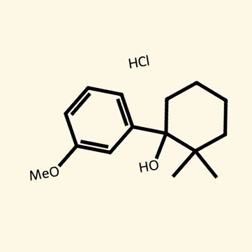 COc1cccc(C2(O)CCCCC2(C)C)c1.Cl